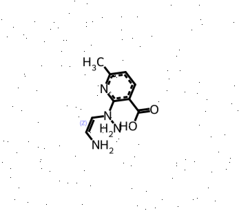 Cc1ccc(C(=O)O)c(N(N)/C=C\N)n1